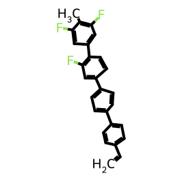 C=Cc1ccc(-c2ccc(-c3ccc(-c4cc(F)c(C)c(F)c4)c(F)c3)cc2)cc1